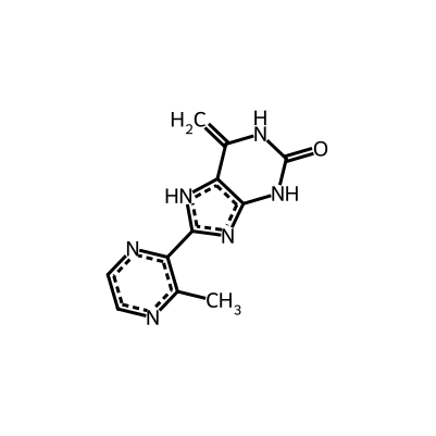 C=C1NC(=O)Nc2nc(-c3nccnc3C)[nH]c21